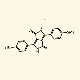 CCCCc1ccc(C2=C3C(=O)NC(c4ccc(SC)cc4)=C3C(=O)N2)cc1